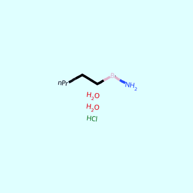 CCCCC[B]N.Cl.O.O